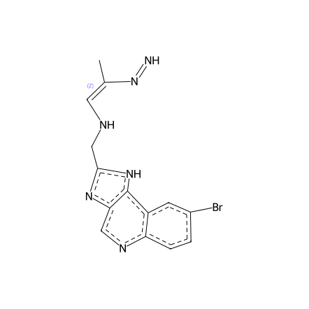 C/C(=C/NCc1nc2cnc3ccc(Br)cc3c2[nH]1)N=N